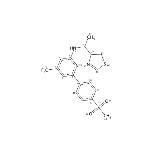 CC(Nc1cc(C(F)(F)F)cc(-c2ccc(S(C)(=O)=O)cc2)n1)C1CSC=N1